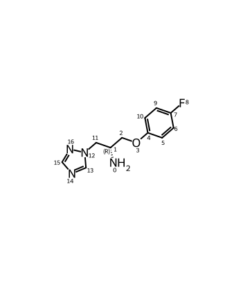 N[C@@H](COc1ccc(F)cc1)Cn1cncn1